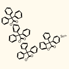 O=C([O-])C(c1ccccc1)(c1ccccc1)c1ccccc1.O=C([O-])C(c1ccccc1)(c1ccccc1)c1ccccc1.O=C([O-])C(c1ccccc1)(c1ccccc1)c1ccccc1.O=C([O-])C(c1ccccc1)(c1ccccc1)c1ccccc1.[Sn+4]